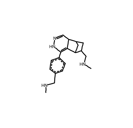 CNCc1ccc(C2=C3C(C=NN2)C2CC(CNC)C3C2)cc1